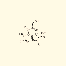 CC(O)C(=O)[O-].O=C([O-])[C@H](O)[C@@H](O)[C@H](O)[C@H](O)CO.[Cu+2]